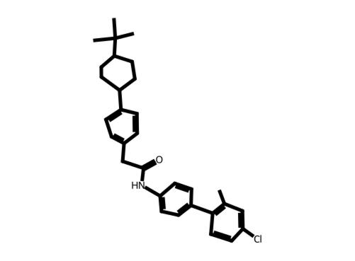 Cc1cc(Cl)ccc1-c1ccc(NC(=O)Cc2ccc(C3CCC(C(C)(C)C)CC3)cc2)cc1